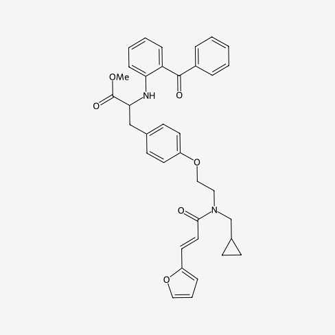 COC(=O)C(Cc1ccc(OCCN(CC2CC2)C(=O)C=Cc2ccco2)cc1)Nc1ccccc1C(=O)c1ccccc1